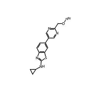 CCCOCc1ncc(-c2ccc3nc(NC4CC4)sc3c2)cn1